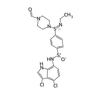 CC/N=S(/c1ccc([S+]([O-])Nc2ccc(Cl)c3c(Cl)c[nH]c23)cc1)N1CCN(C=O)CC1